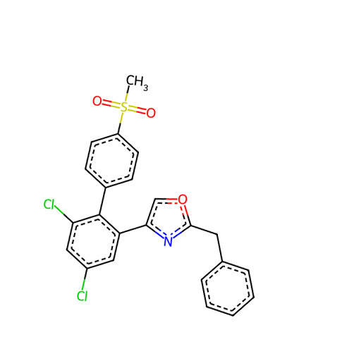 CS(=O)(=O)c1ccc(-c2c(Cl)cc(Cl)cc2-c2coc(Cc3ccccc3)n2)cc1